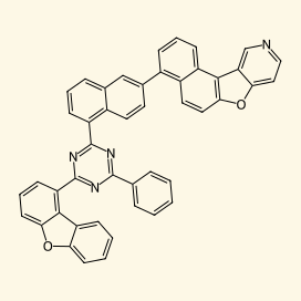 c1ccc(-c2nc(-c3cccc4cc(-c5cccc6c5ccc5oc7ccncc7c56)ccc34)nc(-c3cccc4oc5ccccc5c34)n2)cc1